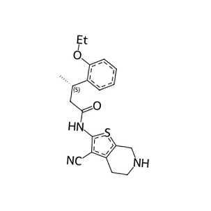 CCOc1ccccc1[C@@H](C)CC(=O)Nc1sc2c(c1C#N)CCNC2